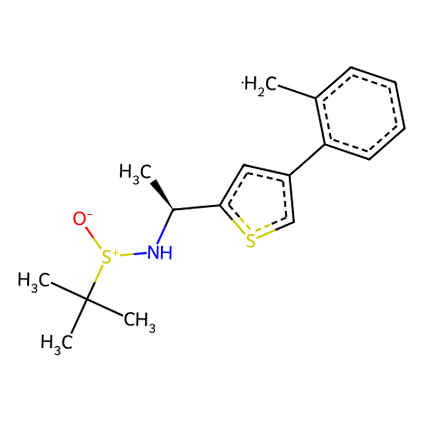 [CH2]c1ccccc1-c1csc([C@H](C)N[S+]([O-])C(C)(C)C)c1